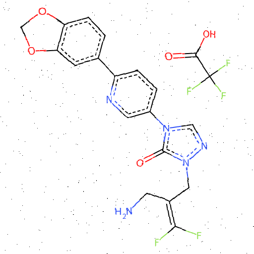 NCC(Cn1ncn(-c2ccc(-c3ccc4c(c3)OCO4)nc2)c1=O)=C(F)F.O=C(O)C(F)(F)F